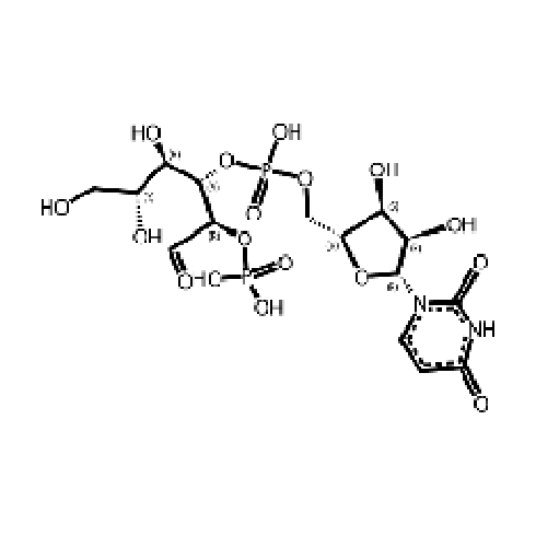 O=C[C@H](OP(=O)(O)O)[C@@H](OP(=O)(O)OC[C@H]1O[C@@H](n2ccc(=O)[nH]c2=O)[C@H](O)[C@@H]1O)[C@H](O)[C@H](O)CO